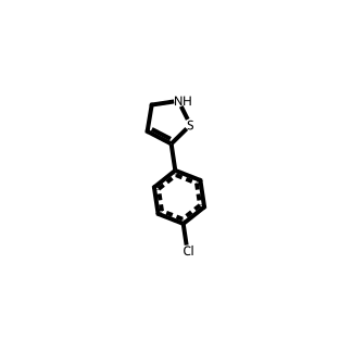 Clc1ccc(C2=CCNS2)cc1